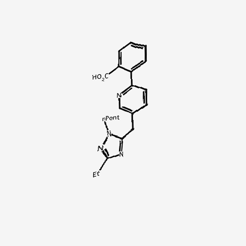 CCCCCn1nc(CC)nc1Cc1ccc(-c2ccccc2C(=O)O)nc1